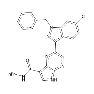 CCCNC(=O)c1c[nH]c2ncc(-c3nn(Cc4ccccc4)c4cc(Cl)ccc34)nc12